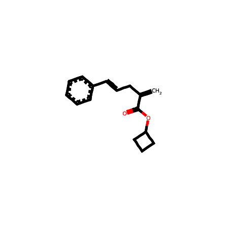 C=C(CC=Cc1ccccc1)C(=O)OC1CCC1